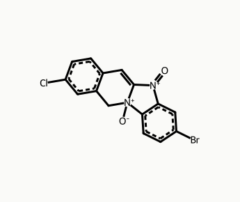 O=[N+]1C2=Cc3ccc(Cl)cc3C[N+]2([O-])c2ccc(Br)cc21